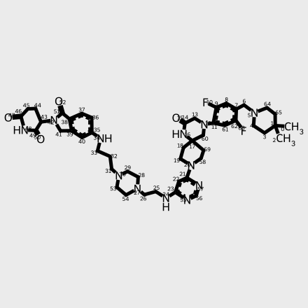 CC1(C)CCN(Cc2cc(F)c(N3CC(=O)NC4(CCN(c5cc(NCCN6CCN(CCCNc7ccc8c(c7)CN(C7CCC(=O)NC7=O)C8=O)CC6)ncn5)CC4)C3)cc2F)CC1